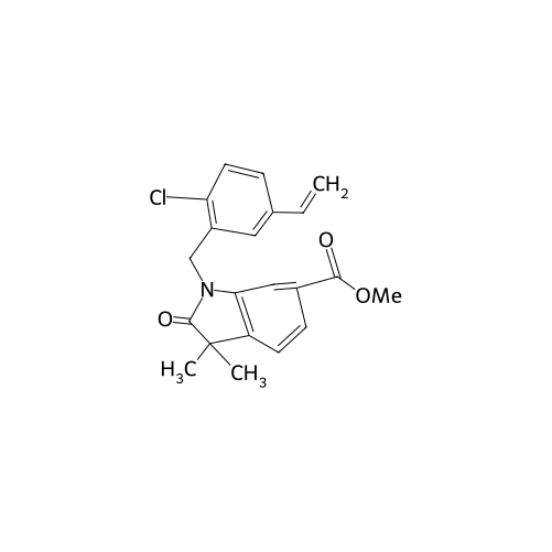 C=Cc1ccc(Cl)c(CN2C(=O)C(C)(C)c3ccc(C(=O)OC)cc32)c1